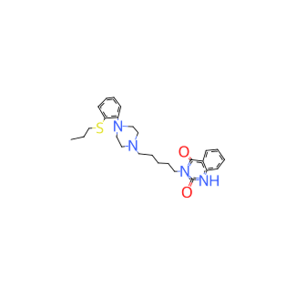 CCCSc1ccccc1N1CCN(CCCCCn2c(=O)[nH]c3ccccc3c2=O)CC1